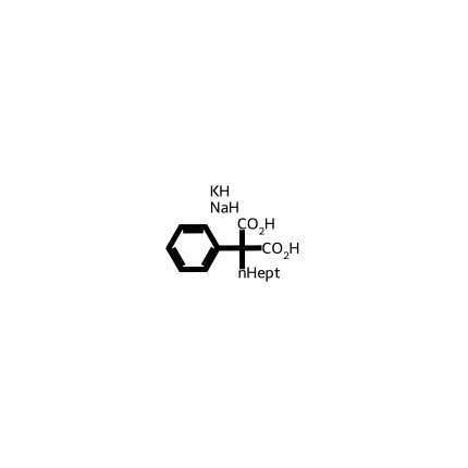 CCCCCCCC(C(=O)O)(C(=O)O)c1ccccc1.[KH].[NaH]